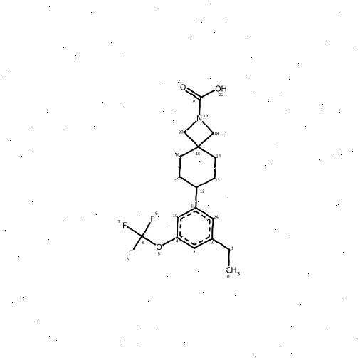 CCc1cc(OC(F)(F)F)cc(C2CCC3(CC2)CN(C(=O)O)C3)c1